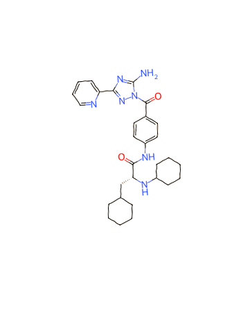 Nc1nc(-c2ccccn2)nn1C(=O)c1ccc(NC(=O)[C@@H](CC2CCCCC2)NC2CCCCC2)cc1